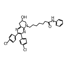 O=C(CCCCCCN1CC(O)Cc2nc(-c3ccc(Cl)cc3)c(-c3ccc(Cl)cc3)nc21)Nc1ccccc1